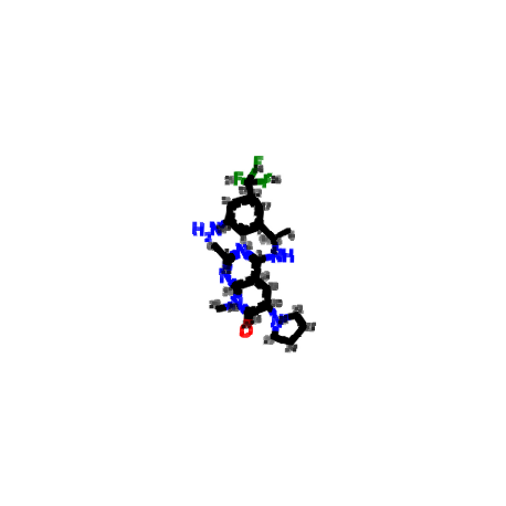 Cc1nc(N[C@H](C)c2cc(N)cc(C(F)(F)F)c2)c2cc(N3CCCC3)c(=O)n(C)c2n1